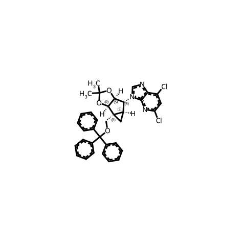 CC1(C)O[C@H]2[C@H](n3cnc4c(Cl)cc(Cl)nc43)[C@H]3C[C@@]3(COC(c3ccccc3)(c3ccccc3)c3ccccc3)[C@H]2O1